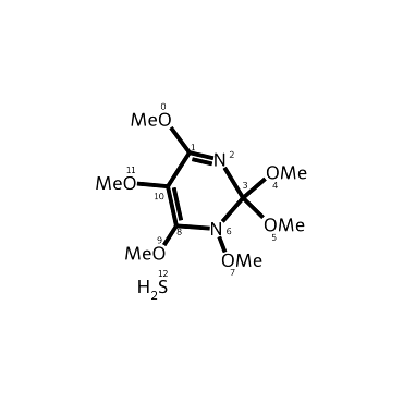 COC1=NC(OC)(OC)N(OC)C(OC)=C1OC.S